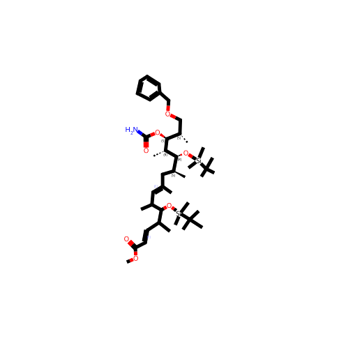 COC(=O)/C=C/C(C)C(O[Si](C)(C)C(C)(C)C)C(C)/C=C(\C)C[C@H](C)[C@@H](O[Si](C)(C)C(C)(C)C)[C@H](C)[C@@H](OC(N)=O)[C@@H](C)COCc1ccccc1